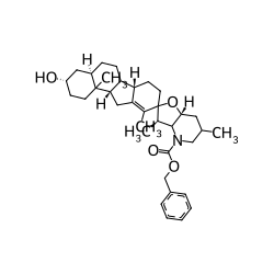 CC1=C2C[C@H]3C(CC[C@@H]4C[C@@H](O)CCC43C)[C@@H]2CCC12O[C@@H]1CC(C)CN(C(=O)OCc3ccccc3)C1[C@H]2C